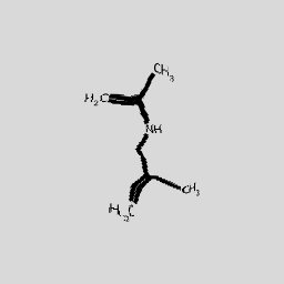 C=C(C)CNC(=C)C